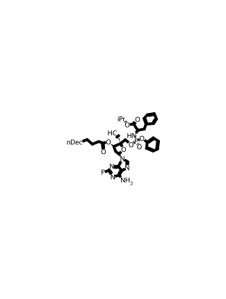 C#C[C@]1(CO[P@@](=O)(NC(Cc2ccccc2)C(=O)OC(C)C)Oc2ccccc2)O[C@@H](n2cnc3c(N)nc(F)nc32)C[C@@H]1OC(=O)CCCCCCCCCCCCC